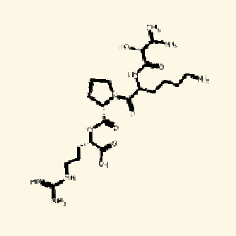 CC(N)[C@H](O)C(=O)NC(CCCCN)C(=O)N1CCC[C@H]1C(=O)N[C@@H](CCCNC(=N)N)C(=O)O